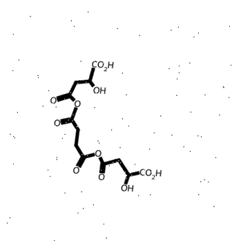 O=C(CCC(=O)OC(=O)CC(O)C(=O)O)OC(=O)CC(O)C(=O)O